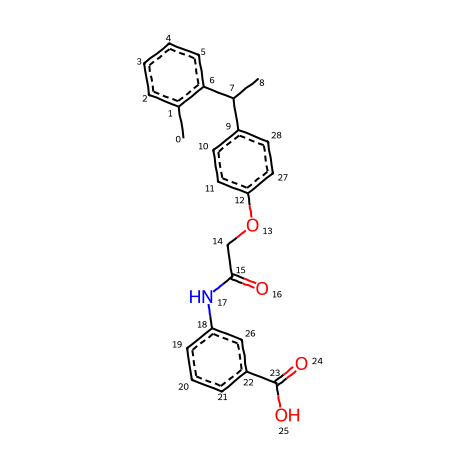 Cc1ccccc1C(C)c1ccc(OCC(=O)Nc2cccc(C(=O)O)c2)cc1